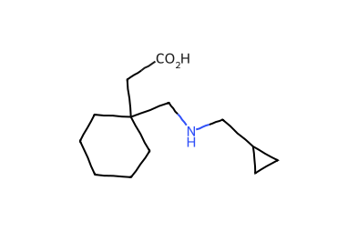 O=C(O)CC1(CNCC2CC2)CCCCC1